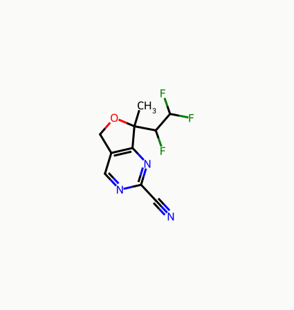 CC1(C(F)C(F)F)OCc2cnc(C#N)nc21